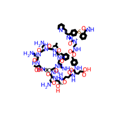 CNC(=O)c1ccccc1Sc1ccc2c(/C=C/c3ccccn3)nn(C(=O)N(C)CCNC(=O)OCc3ccc(NC(=O)C(CCC(=O)O)NC(=O)CCC(=O)NC(C(=O)N[C@H](CCN)C(=O)N[C@@H]4CCNC(=O)C(C(C)O)NC(=O)[C@H](CCN)NC(=O)[C@H](CCN)NC(=O)[C@H](CC(C)C)NC(=O)[C@@H](Cc5ccccc5)NC(=O)C(CCN)NC4=O)[C@H](C)O)cc3)c2c1